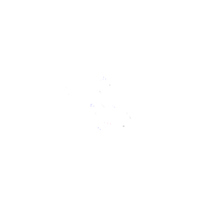 O=C1NCCc2[nH]c(-c3ccncc3OCC3CC3)c(Nc3cccc(F)c3)c21